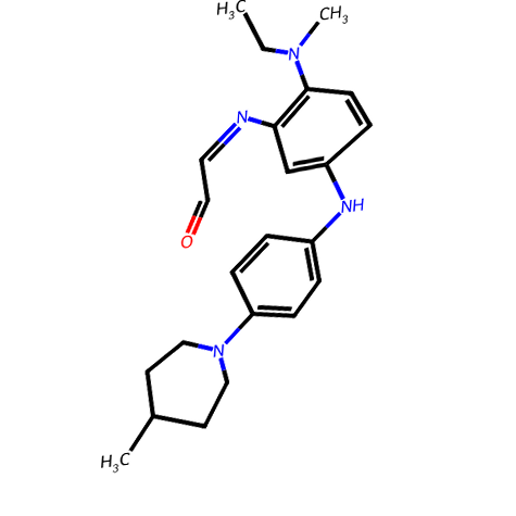 CCN(C)c1ccc(Nc2ccc(N3CCC(C)CC3)cc2)cc1/N=C\C=O